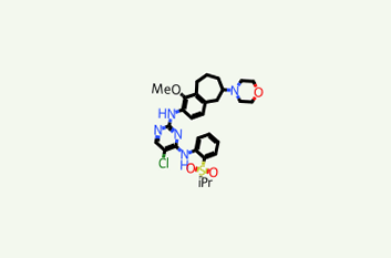 COc1c(Nc2ncc(Cl)c(Nc3ccccc3S(=O)(=O)C(C)C)n2)ccc2c1CCCC(N1CCOCC1)C2